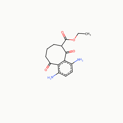 CCOC(=O)C1CCCC(=O)c2c(N)ccc(N)c2C1=O